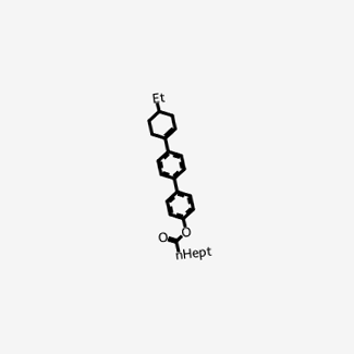 CCCCCCCC(=O)Oc1ccc(-c2ccc(C3=CCC(CC)CC3)cc2)cc1